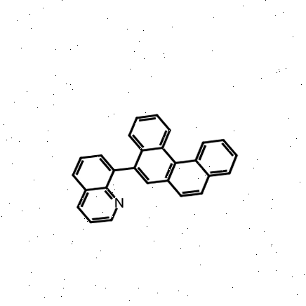 c1cnc2c(-c3cc4ccc5ccccc5c4c4ccccc34)cccc2c1